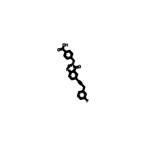 O=C(O)c1ccc(Cn2cnc3ccc(C#CCc4cccc(F)c4)cc3c2=O)cc1